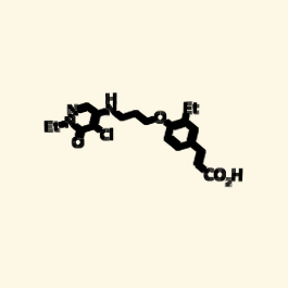 CCc1cc(C=CC(=O)O)ccc1OCCCNc1cnn(CC)c(=O)c1Cl